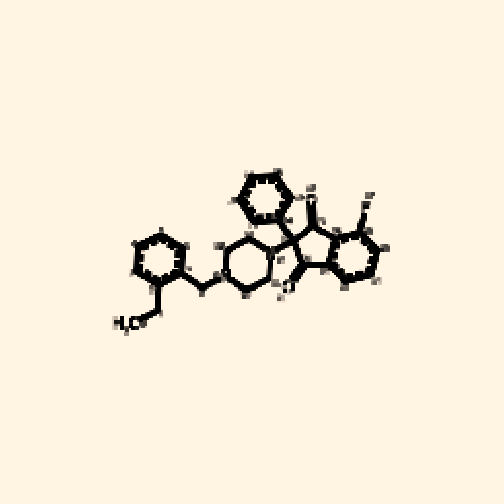 CCc1ccccc1CN1CCN(C2(c3ccccc3)C(=O)c3cccc(F)c3C2=O)CC1